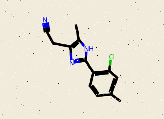 Cc1ccc(-c2nc(CC#N)c(C)[nH]2)c(Cl)c1